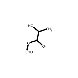 CC(O)C([O])OC=O